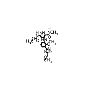 CNC(=O)c1nnc(NC(=O)OC)cc1Nc1cccc(-c2noc(COC)n2)c1OC